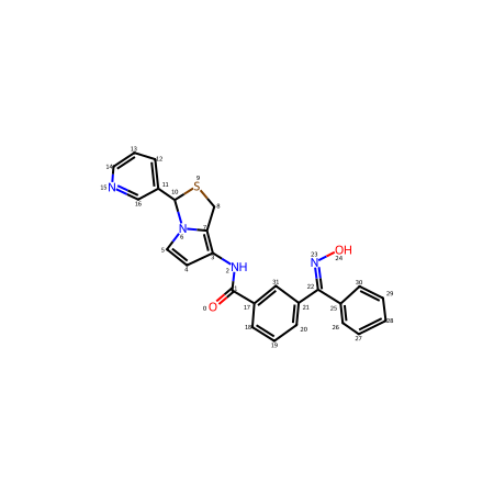 O=C(Nc1ccn2c1CSC2c1cccnc1)c1cccc(C(=NO)c2ccccc2)c1